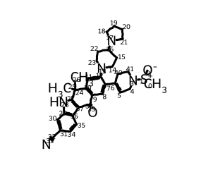 C[S+]([O-])N1CC=C(c2cc3c(cc2N2CCC(N4CCCC4)CC2)C(C)(C)c2[nH]c4cc(C#N)ccc4c2C3=O)CC1